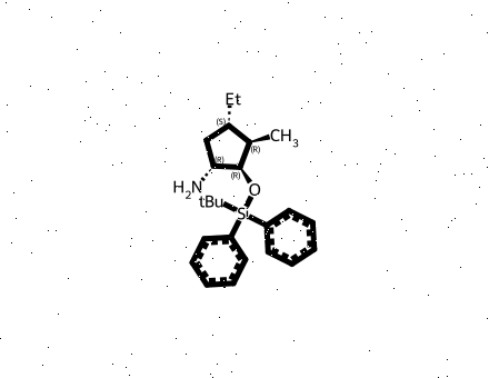 CC[C@H]1C[C@@H](N)[C@H](O[Si](c2ccccc2)(c2ccccc2)C(C)(C)C)[C@@H]1C